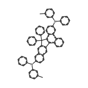 Cc1cccc(N(c2ccccc2)c2ccc3cc4c(cc3c2)C(c2ccccc2)(c2ccccc2)c2c-4c3ccccc3c3cc(N(c4ccccc4)c4cccc(C)c4)ccc23)c1